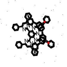 Cc1ccc2c(c1)c1cc(C)ccc1n2-c1c(-c2nc(-c3ccccc3)cc(-c3ccccc3)n2)cc(-c2nc(-c3ccccc3)cc(-c3ccccc3)n2)c(-n2c3ccc(C)cc3c3cc(C)ccc32)c1-n1c2ccc(-c3ccccc3)cc2c2cc(-c3ccccc3)ccc21